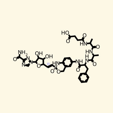 CC(NC(=O)CCC(=O)O)C(=O)NC(C)C(=O)NC(Cc1ccccc1)C(=O)Nc1ccc2c(c1)COP(=O)(/C=C/C1OC(n3cnc(C(N)=O)n3)C(O)C1O)N2